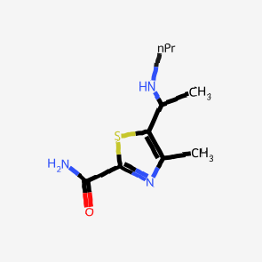 CCCNC(C)c1sc(C(N)=O)nc1C